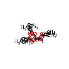 CC(COC(=O)OOC(=O)c1ccc(C(C)(C)C)cc1)(COC(=O)OOC(=O)c1ccc(C(C)(C)C)cc1)COC(=O)OOC(=O)c1ccc(C(C)(C)C)cc1